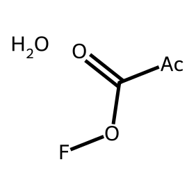 CC(=O)C(=O)OF.O